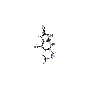 CN(C)/C=N\c1nc(O)c2sc(=O)[nH]c2n1